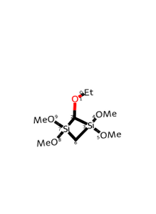 CCOC1[Si](OC)(OC)C[Si]1(OC)OC